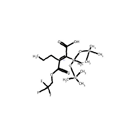 CCC/C(C(=O)OCC(F)(F)F)=C(\C(=O)O)[Si](C)(O[Si](C)(C)C)O[Si](C)(C)C